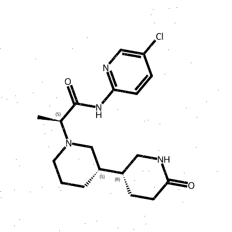 C[C@@H](C(=O)Nc1ccc(Cl)cn1)N1CCC[C@@H]([C@H]2CCC(=O)NC2)C1